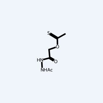 CC(=O)NNC(=O)COC(C)=S